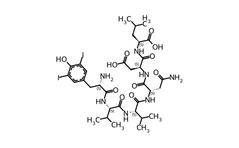 CC(C)C[C@H](NC(=O)[C@H](CC(=O)O)NC(=O)[C@H](CC(N)=O)NC(=O)[C@@H](NC(=O)[C@@H](NC(=O)[C@@H](N)Cc1cc(I)c(O)c(I)c1)C(C)C)C(C)C)C(=O)O